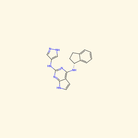 c1ccc2c(c1)CC[C@H]2Nc1nc(Nc2cn[nH]c2)nc2[nH]ccc12